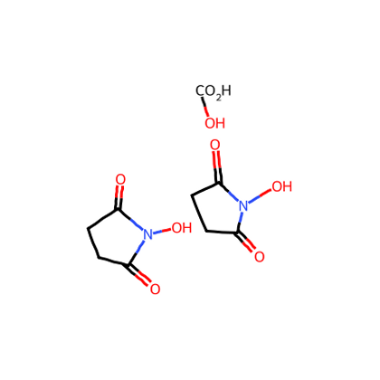 O=C(O)O.O=C1CCC(=O)N1O.O=C1CCC(=O)N1O